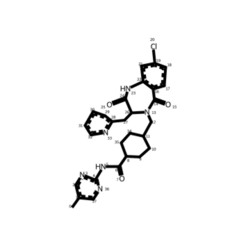 Cc1cnc(NC(=O)C2CCC(CN3C(=O)c4ccc(Cl)cc4NC(=O)C3Cc3ccccn3)CC2)nc1